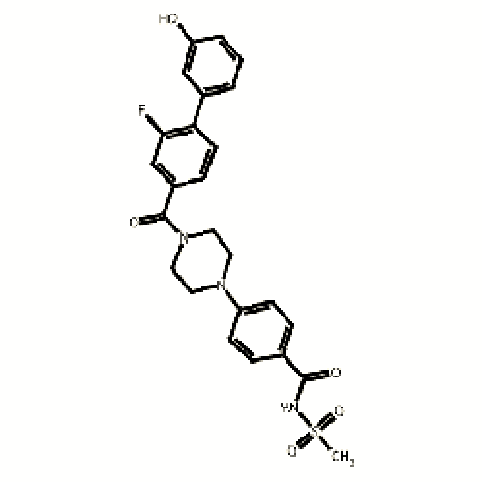 CS(=O)(=O)NC(=O)c1ccc(N2CCN(C(=O)c3ccc(-c4cccc(O)c4)c(F)c3)CC2)cc1